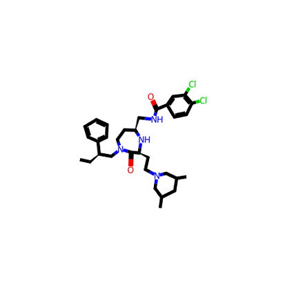 CC[C@H](CN1CC[C@@H](CNC(=O)c2ccc(Cl)c(Cl)c2)N[C@@H](CCN2CC(C)CC(C)C2)C1=O)c1ccccc1